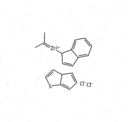 C1=CC2C=CSC2=C1.C[C](C)=[Zr+2][CH]1C=Cc2ccccc21.[Cl-].[Cl-]